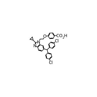 O=C(O)c1ccc(OCCn2c(C3CC3)nc3ccc(C(c4ccc(Cl)cc4)c4ccc(Cl)cc4)cc32)cc1